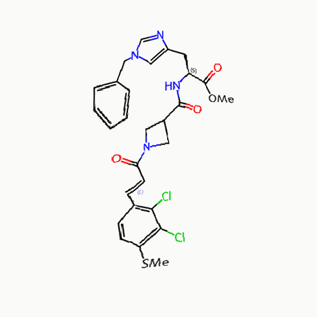 COC(=O)[C@H](Cc1cn(Cc2ccccc2)cn1)NC(=O)C1CN(C(=O)/C=C/c2ccc(SC)c(Cl)c2Cl)C1